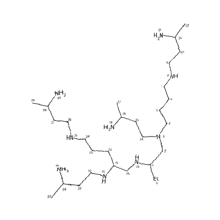 CCC(CN(CCCCNCCC(C)N)CCC(C)N)NCC(CCCNCCC(C)N)NCCC(C)N